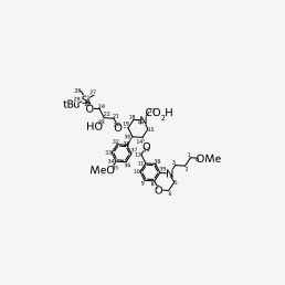 COCCCN1CCOc2ccc(CO[C@H]3CN(C(=O)O)C[C@@H](OC[C@H](O)CO[Si](C)(C)C(C)(C)C)[C@@H]3c3ccc(OC)cc3)cc21